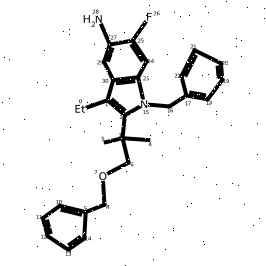 CCc1c(C(C)(C)COCc2ccccc2)n(Cc2ccccc2)c2cc(F)c(N)cc12